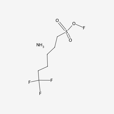 N.O=S(=O)(CCCCCC(F)(F)F)OF